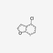 Clc1cc[c]c2occc12